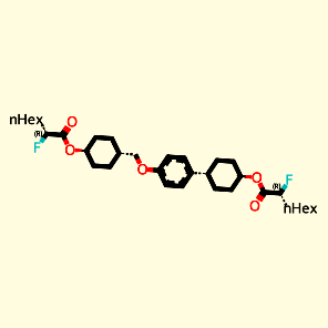 CCCCCC[C@@H](F)C(=O)O[C@H]1CC[C@H](COc2ccc([C@H]3CC[C@H](OC(=O)[C@H](F)CCCCCC)CC3)cc2)CC1